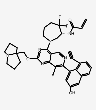 C#Cc1cccc2cc(O)cc(-c3ncc4c(N5CCCC(F)(F)[C@H](NC(=O)C=C)C5)nc(OCC56CCCN5CCC6)nc4c3F)c12